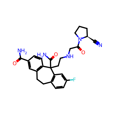 N#C[C@@H]1CCCN1C(=O)CNCCC1(C(N)=O)c2ccc(C(N)=O)cc2CCc2ccc(F)cc21